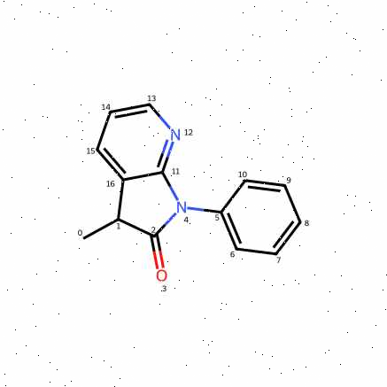 CC1C(=O)N(c2ccccc2)c2ncccc21